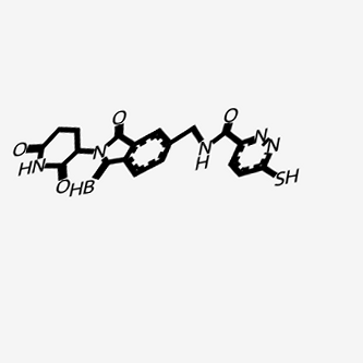 B=C1c2ccc(CNC(=O)c3ccc(S)nn3)cc2C(=O)N1C1CCC(=O)NC1=O